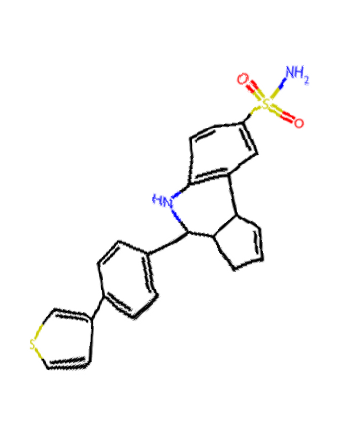 NS(=O)(=O)c1ccc2c(c1)C1C=CCC1C(c1ccc(-c3ccsc3)cc1)N2